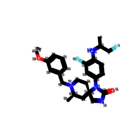 CC(CF)Nc1ccc(N2C(=O)N=C[C@@]23CCN(Cc2cccc(OC(C)C)c2)[C@H](C)C3)cc1F